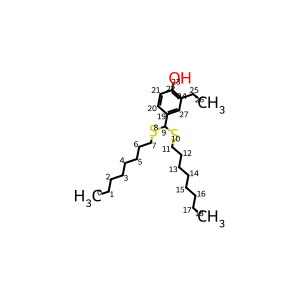 CCCCCCCCSC(SCCCCCCCC)c1ccc(O)c(CC)c1